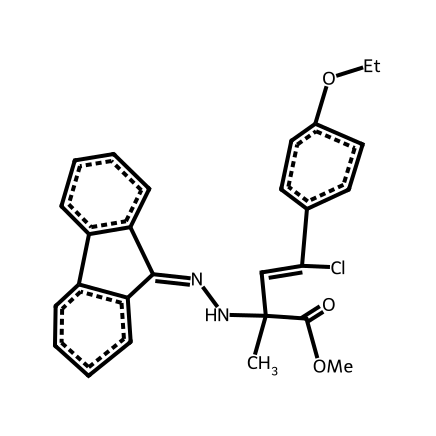 CCOc1ccc(C(Cl)=CC(C)(NN=C2c3ccccc3-c3ccccc32)C(=O)OC)cc1